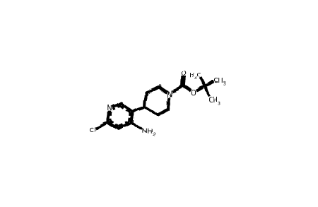 CC(C)(C)OC(=O)N1CCC(c2cnc(Cl)cc2N)CC1